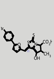 CC1C(O)=c2/c(=C/c3ccc(-c4ccc(Br)cc4)o3)sc(=S)n2C1C(=O)O